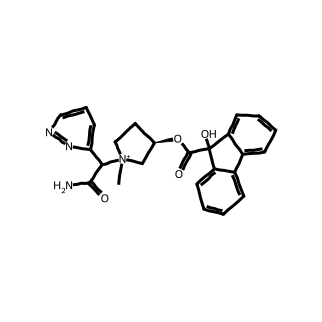 C[N+]1(C(C(N)=O)c2cccnn2)CC[C@@H](OC(=O)C2(O)c3ccccc3-c3ccccc32)C1